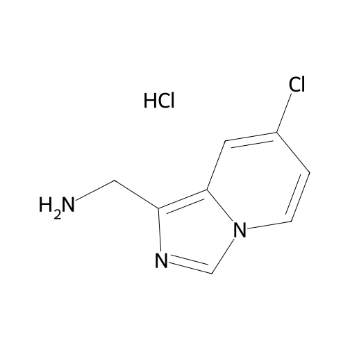 Cl.NCc1ncn2ccc(Cl)cc12